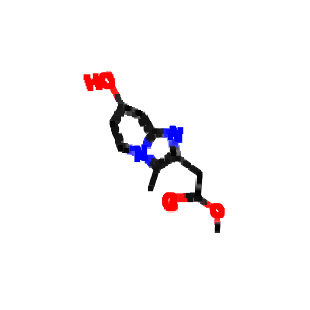 COC(=O)Cc1nc2cc(O)ccn2c1C